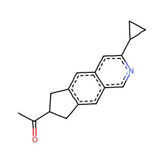 CC(=O)C1Cc2cc3cnc(C4CC4)cc3cc2C1